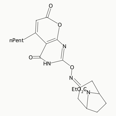 CCCCCc1cc(=O)oc2nc(ON=C3CC4CCC(C3)N4C(=O)OCC)[nH]c(=O)c12